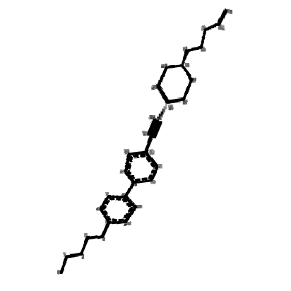 CCCCCc1ccc(-c2ccc(C#C[C@H]3CC[C@H](CCCCC)CC3)cc2)cc1